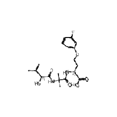 CC(C)[C@H](S)C(=O)NC(C)(C)C(=O)N[C@@H](CCOc1cccc(F)c1)C(=O)O